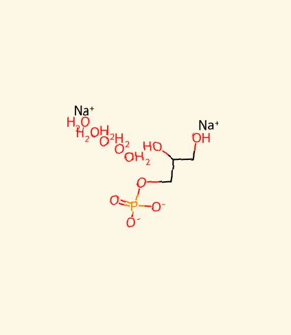 O.O.O.O.O.O=P([O-])([O-])OCC(O)CO.[Na+].[Na+]